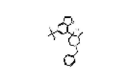 CC1CN(Cc2ccccc2)CCC1(O)c1cc(C(F)(F)F)cc2ccoc12